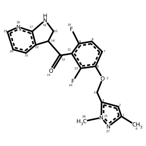 Cc1cc(COc2ccc(F)c(C(=O)C3CNc4ncccc43)c2F)n(C)n1